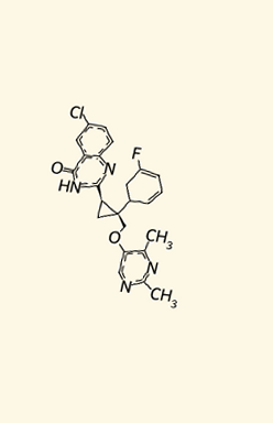 Cc1ncc(OC[C@@]2(C3C=CC=C(F)C3)C[C@H]2c2nc3ccc(Cl)cc3c(=O)[nH]2)c(C)n1